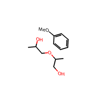 CC(O)COC(C)CO.COc1ccccc1